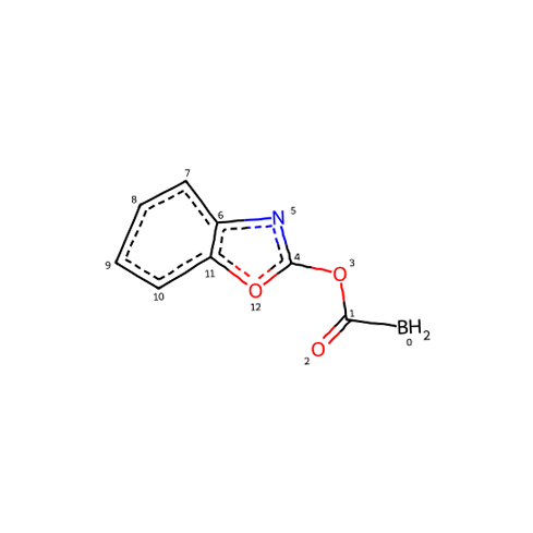 BC(=O)Oc1nc2ccccc2o1